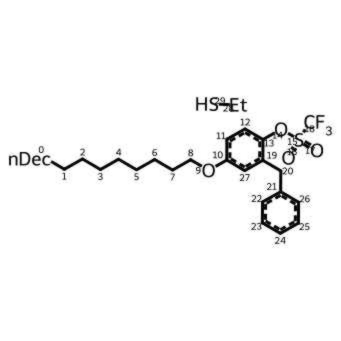 CCCCCCCCCCCCCCCCCCOc1ccc(OS(=O)(=O)C(F)(F)F)c(Cc2ccccc2)c1.CCS